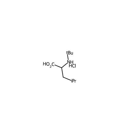 CC(C)CC(NC(C)(C)C)C(=O)O.Cl